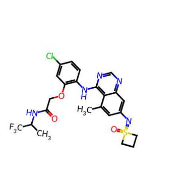 Cc1cc(N=S2(=O)CCC2)cc2ncnc(Nc3ccc(Cl)cc3OCC(=O)NC(C)C(F)(F)F)c12